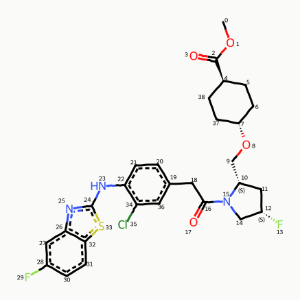 COC(=O)[C@H]1CC[C@H](OC[C@@H]2C[C@H](F)CN2C(=O)Cc2ccc(Nc3nc4cc(F)ccc4s3)c(Cl)c2)CC1